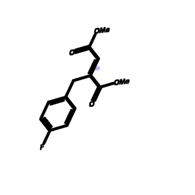 COC(=O)/C=C(\Cc1ccc(F)cc1)C(=O)OC